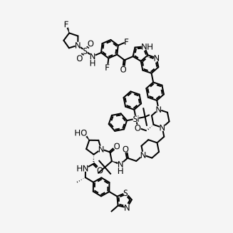 Cc1ncsc1-c1ccc([C@H](C)NC(=O)[C@@H]2C[C@@H](O)CN2C(=O)[C@@H](NC(=O)CN2CCC(CN3CCN(c4ccc(-c5cnc6[nH]cc(C(=O)c7c(F)ccc(NS(=O)(=O)N8CC[C@@H](F)C8)c7F)c6c5)cc4)C[C@H]3CO[Si](c3ccccc3)(c3ccccc3)C(C)(C)C)CC2)C(C)(C)C)cc1